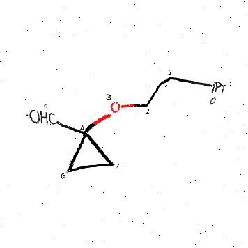 CC(C)CCOC1([C]=O)CC1